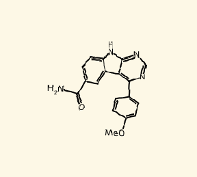 COc1ccc(-c2ncnc3[nH]c4ccc(C(N)=O)cc4c23)cc1